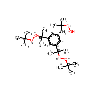 CC(C)(C)OO.CC(C)(C)OOC(C)(C)c1cccc(C(C)(C)OOC(C)(C)C)c1